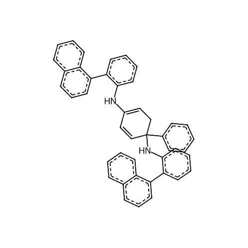 C1=CC(Nc2ccccc2-c2cccc3ccccc23)(c2ccccc2)CC=C1Nc1ccccc1-c1cccc2ccccc12